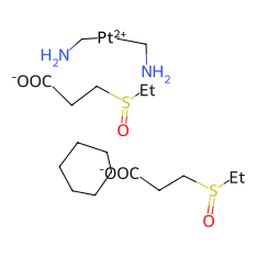 C1CCCCC1.CCS(=O)CCC(=O)[O-].CCS(=O)CCC(=O)[O-].N[CH2][Pt+2][CH2]N